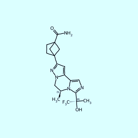 C[C@H]1Cn2nc(C34CCC(C(N)=O)(C3)C4)cc2-c2cnc([C@@](C)(O)C(F)(F)F)n21